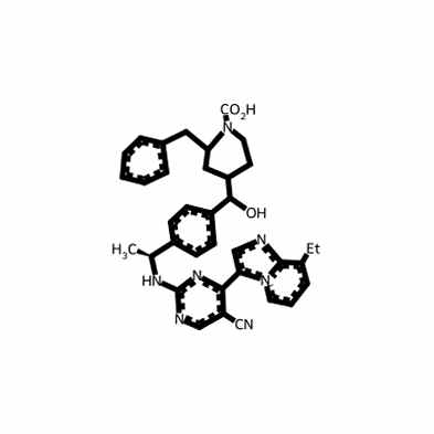 CCc1cccn2c(-c3nc(N[C@@H](C)c4ccc(C(O)C5CCN(C(=O)O)C(Cc6ccccc6)C5)cc4)ncc3C#N)cnc12